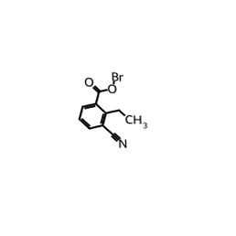 CCc1c(C#N)cccc1C(=O)OBr